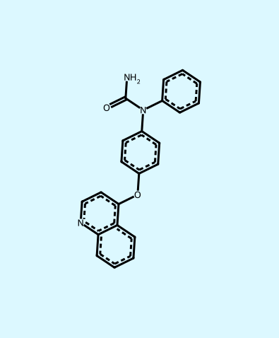 NC(=O)N(c1ccccc1)c1ccc(Oc2ccnc3ccccc23)cc1